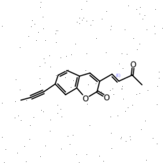 CC#Cc1ccc2cc(/C=C/C(C)=O)c(=O)oc2c1